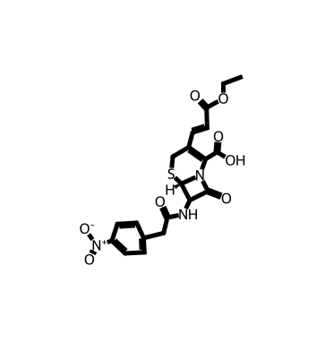 CCOC(=O)C=CC1=C(C(=O)O)N2C(=O)C(NC(=O)Cc3ccc([N+](=O)[O-])cc3)[C@@H]2SC1